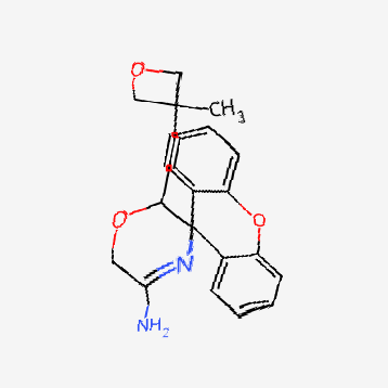 CC1(C#CC2OCC(N)=NC23c2ccccc2Oc2ccccc23)COC1